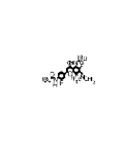 CN(C)Cc1c(F)c(NC(=O)C(C)(C)C)c2c(=O)cc(-c3ccc(NC(=O)C(C)(C)C)c(F)c3)oc2c1F